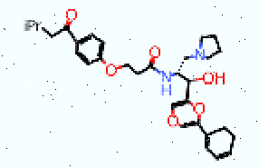 CC(C)CC(=O)c1ccc(OCCC(=O)N[C@H](CN2CCCC2)[C@@H](O)C2=COC=C(C3=CC=CCC3)O2)cc1